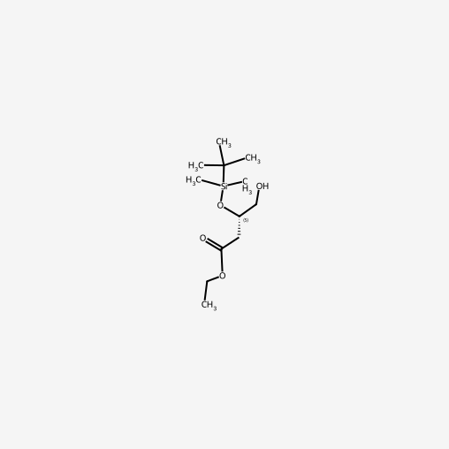 CCOC(=O)C[C@@H](CO)O[Si](C)(C)C(C)(C)C